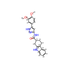 COc1ccc(-c2cc(NC(=O)C3CCc4c([nH]c5ccccc45)C3)n[nH]2)cc1OC